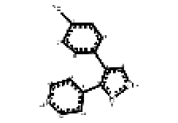 Fc1ccc(-c2conc2-c2ccncc2)cc1